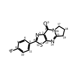 O=c1c2nc(-c3ccc(F)cc3)sc2nc2n1CCC2